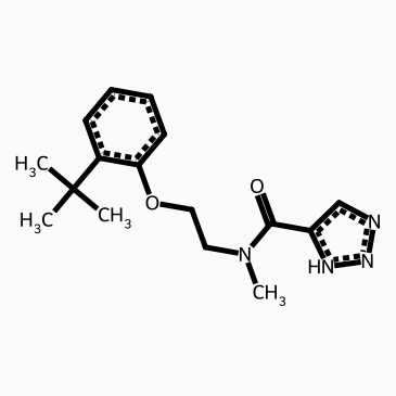 CN(CCOc1ccccc1C(C)(C)C)C(=O)c1cnn[nH]1